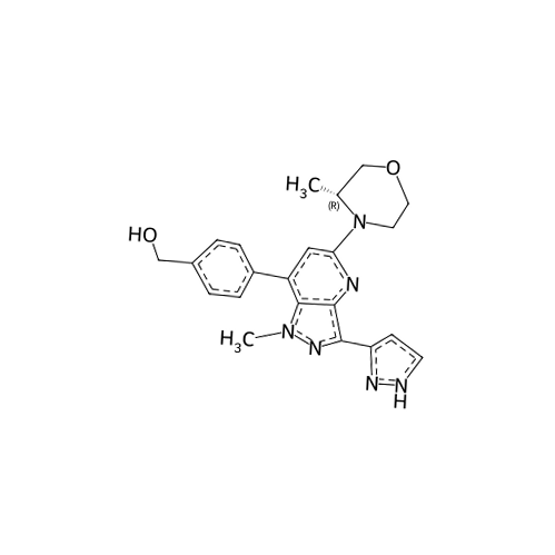 C[C@@H]1COCCN1c1cc(-c2ccc(CO)cc2)c2c(n1)c(-c1cc[nH]n1)nn2C